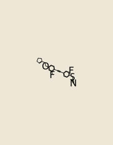 N#CSc1ccc(C#Cc2ccc(OCC3=CCCC3)cc2F)cc1F